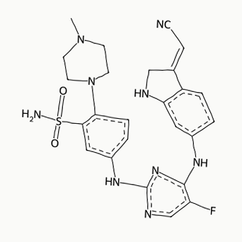 CN1CCN(c2ccc(Nc3ncc(F)c(Nc4ccc5c(c4)NC/C5=C\C#N)n3)cc2S(N)(=O)=O)CC1